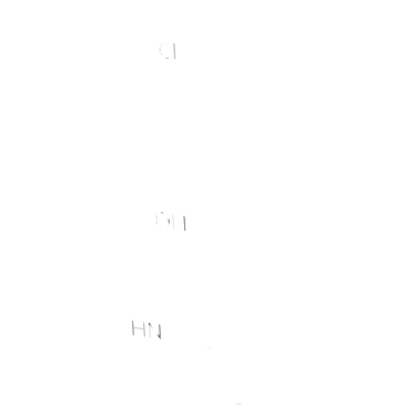 CC1(O)NC(=O)C=C1c1cccc(Cl)c1